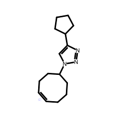 C1=C\CCC(n2cc(C3CCCC3)nn2)CCC/1